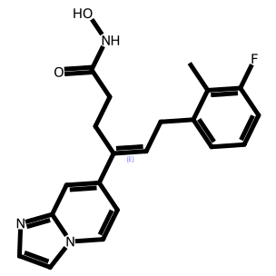 Cc1c(F)cccc1C/C=C(\CCC(=O)NO)c1ccn2ccnc2c1